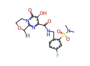 CCC1OCCn2c1nc(C(=O)NCc1ccc(F)cc1S(=O)(=O)N(C)C)c(O)c2=O